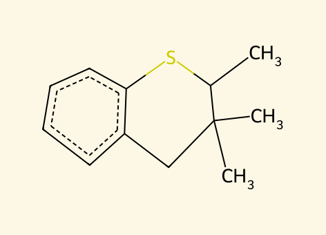 CC1Sc2ccccc2CC1(C)C